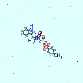 Cc1ccc(S(=O)(=O)OC[C@@H]2CN(C(C)(C)Cc3c[nH]c4ccccc34)C(=O)O2)cc1